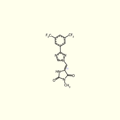 CN1C(=O)N/C(=C\n2cnc(-c3cc(C(F)(F)F)cc(C(F)(F)F)c3)n2)C1=O